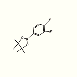 CC(C)c1cc(B2OC(C)(C)C(C)(C)O2)ccc1F